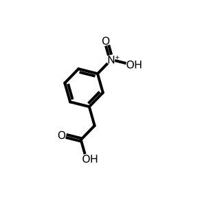 O=C(O)Cc1cccc([N+](=O)O)c1